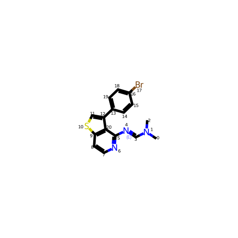 CN(C)/C=N/c1nccc2scc(-c3ccc(Br)cc3)c12